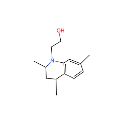 Cc1ccc2c(c1)N(CCO)C(C)CC2C